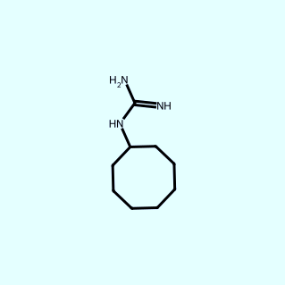 N=C(N)NC1CCCCCCC1